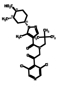 Cc1c(C(=O)N(CC(=O)c2c(Cl)cncc2Cl)CC(C)(C)C(F)(F)F)cnn1[C@H]1CC[C@H](C(=O)O)[C@@H](C)C1